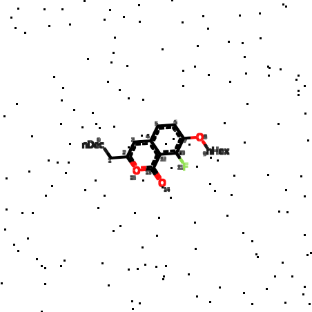 CCCCCCCCCCCc1cc2ccc(OCCCCCC)c(F)c2c(=O)o1